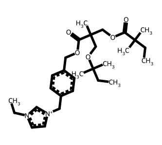 CCn1cc[n+](Cc2ccc(COC(=O)C(C)(COC(=O)C(C)(C)CC)COC(C)(C)CC)cc2)c1